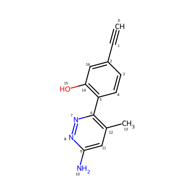 C#Cc1ccc(-c2nnc(N)cc2C)c(O)c1